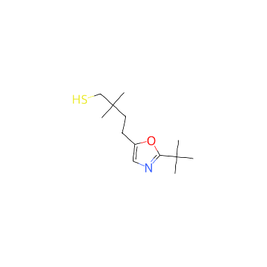 CC(C)(CS)CCc1cnc(C(C)(C)C)o1